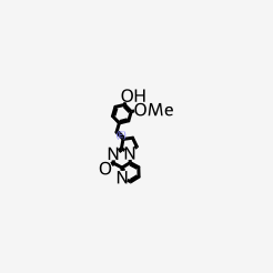 COc1cc(/C=C2\CCn3c2nc(=O)c2ncccc23)ccc1O